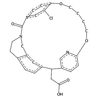 O=C(O)CC1c2ccc(nc2)OCCCCOc2ccc(cc2Cl)C(=O)N2CCc3ccc1cc3C2